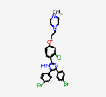 CN1CCN(CCCOc2ccc(-c3nc(-c4ccc(Br)cc4)c(-c4ccc(Br)cc4)[nH]3)c(Cl)c2)CC1